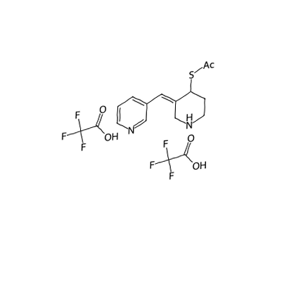 CC(=O)SC1CCNC/C1=C\c1cccnc1.O=C(O)C(F)(F)F.O=C(O)C(F)(F)F